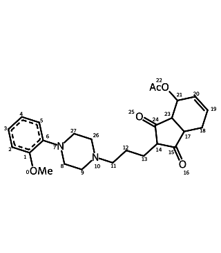 COc1ccccc1N1CCN(CCCC2C(=O)C3CC=CC(OC(C)=O)C3C2=O)CC1